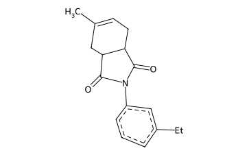 CCc1cccc(N2C(=O)C3CC=C(C)CC3C2=O)c1